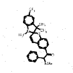 CNC(C(=O)c1ccc2c(c1)C=CC1(O2)N(C)c2ccc(C(F)(F)F)cc2C1(C)C)c1ccccc1